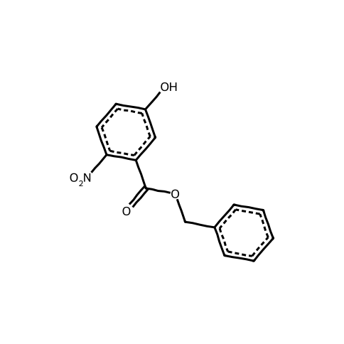 O=C(OCc1ccccc1)c1cc(O)ccc1[N+](=O)[O-]